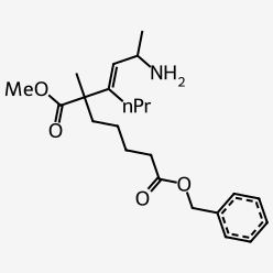 CCC/C(=C\C(C)N)C(C)(CCCCC(=O)OCc1ccccc1)C(=O)OC